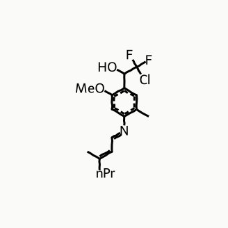 CCC/C(C)=C/C=N/c1cc(OC)c(C(O)C(F)(F)Cl)cc1C